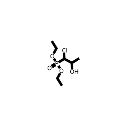 CCOP(=O)(OCC)C(Cl)C(C)O